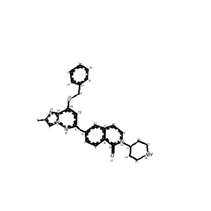 Cc1cn2nc(-c3ccc4c(=O)n(C5CCNCC5)ccc4c3)cc(OCc3ccccc3)c2n1